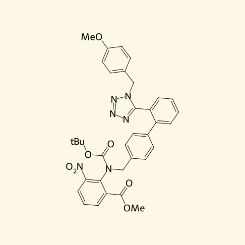 COC(=O)c1cccc([N+](=O)[O-])c1N(Cc1ccc(-c2ccccc2-c2nnnn2Cc2ccc(OC)cc2)cc1)C(=O)OC(C)(C)C